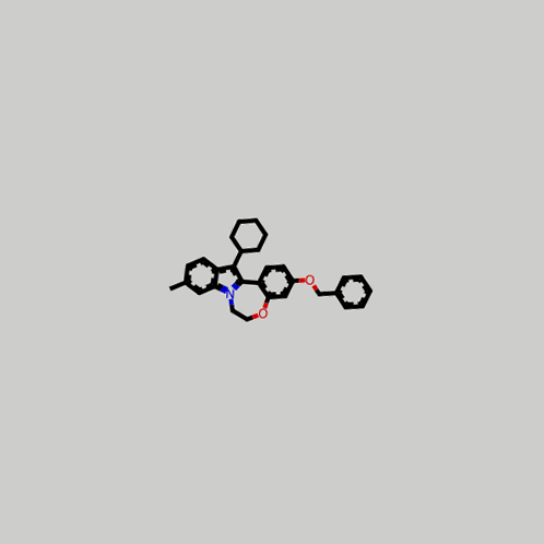 Cc1ccc2c(C3CCCCC3)c3n(c2c1)CCOc1cc(OCc2ccccc2)ccc1-3